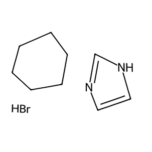 Br.C1CCCCC1.c1c[nH]cn1